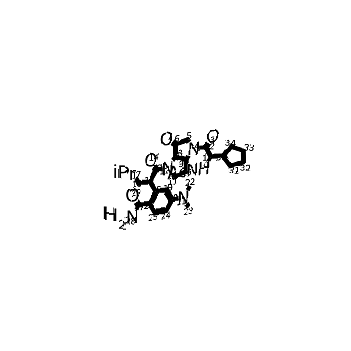 CC(=O)NC(C(=O)N1CC(=O)C2C1CCN2C(=O)C(CC(C)C)c1cc(N(C)C)ccc1C(N)=O)C1CCCC1